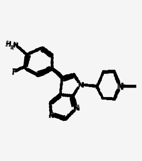 CN1CCC(n2cc(-c3ccc(N)c(F)c3)c3cncnc32)CC1